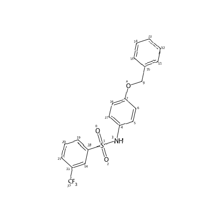 O=S(=O)(Nc1ccc(OCc2ccccc2)cc1)c1cccc(C(F)(F)F)c1